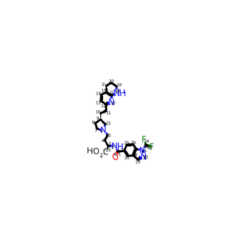 O=C(NC(CCN1CC[C@@H](CCc2ccc3c(n2)NCCC3)C1)C(=O)O)c1ccc2c(cnn2C(F)F)c1